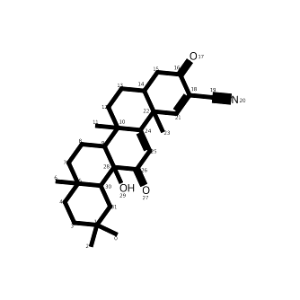 CC1(C)CCC2(C)CCC3C4(C)CCC5CC(=O)C(C#N)=CC5(C)C4=CC(=O)C3(O)C2C1